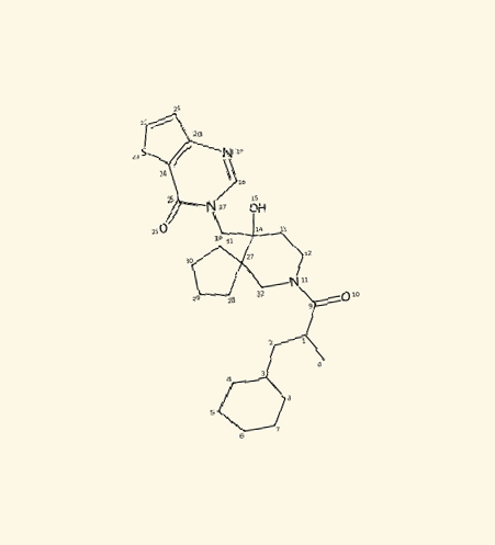 CC(CC1CCCCC1)C(=O)N1CCC(O)(Cn2cnc3ccsc3c2=O)C2(CCCC2)C1